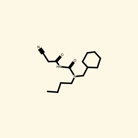 CCCCN(CC1CCCCC1)C(=O)NC(=O)CC#N